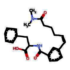 CN(C)C(=O)CCC/C=C\c1cccc(C(=O)NC(Cc2ccccc2)C(=O)O)c1